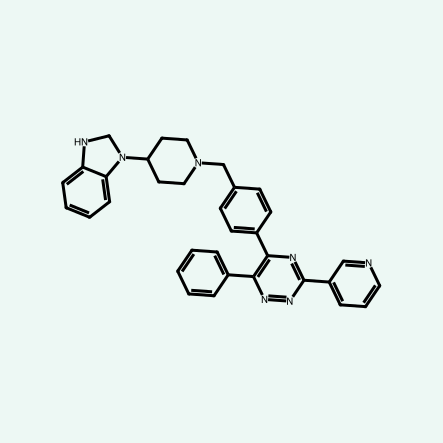 c1ccc(-c2nnc(-c3cccnc3)nc2-c2ccc(CN3CCC(N4CNc5ccccc54)CC3)cc2)cc1